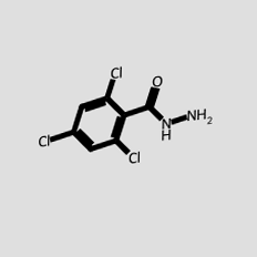 NNC(=O)c1c(Cl)cc(Cl)cc1Cl